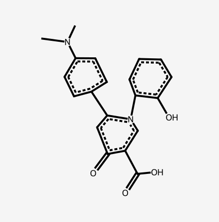 CN(C)c1ccc(-c2cc(=O)c(C(=O)O)cn2-c2ccccc2O)cc1